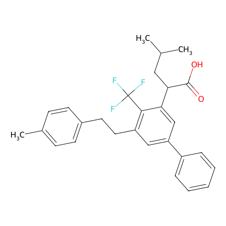 Cc1ccc(CCc2cc(-c3ccccc3)cc(C(CC(C)C)C(=O)O)c2C(F)(F)F)cc1